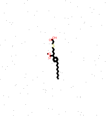 CCCCCCCCCc1ccc(C(CCCCSCCC(=O)O)C(=O)OC)cc1